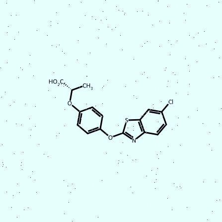 C[C@H](Oc1ccc(Oc2nc3ccc(Cl)cc3s2)cc1)C(=O)O